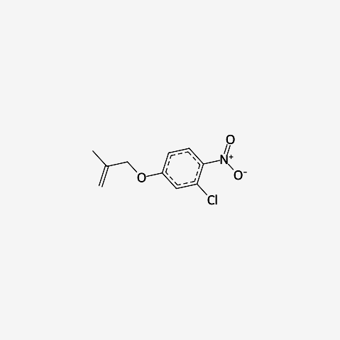 C=C(C)COc1ccc([N+](=O)[O-])c(Cl)c1